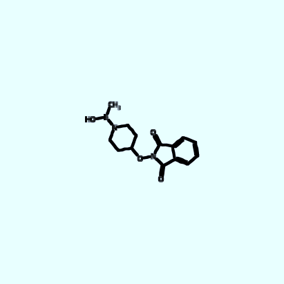 CB(O)N1CCC(ON2C(=O)c3ccccc3C2=O)CC1